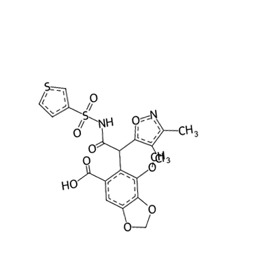 COc1c2c(cc(C(=O)O)c1C(C(=O)NS(=O)(=O)c1ccsc1)c1onc(C)c1Cl)OCO2